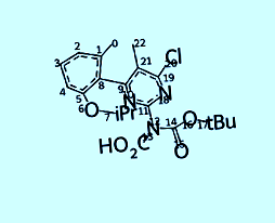 Cc1cccc(OC(C)C)c1-c1nc(N(C(=O)O)C(=O)OC(C)(C)C)nc(Cl)c1C